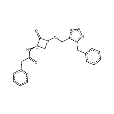 O=C(Cc1ccccc1)N[C@@H]1CN(OCc2nnnn2Cc2ccccc2)C1=O